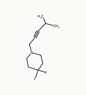 CC(C)C#CCN1CCC(F)(F)CC1